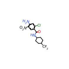 Nc1cc(Cl)c(C(=O)NC2CCC(C(F)(F)F)CC2)cc1[N+](=O)[O-]